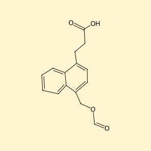 O=COCc1ccc(CCC(=O)O)c2ccccc12